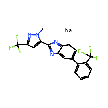 Cn1nc(C(F)(F)F)cc1C1=NC2=CC(c3ccccc3C(F)(F)F)=CCC2=N1.[Na]